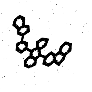 c1cc(-c2ccc3ccccc3c2)cc(-c2c3ccccc3c(-c3ccc4ccc5ccccc5c4c3)c3ccccc23)c1